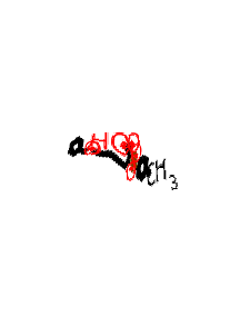 Cc1ccc(S(=O)(=O)C(CCCOCc2ccccc2)C(=O)O)cc1